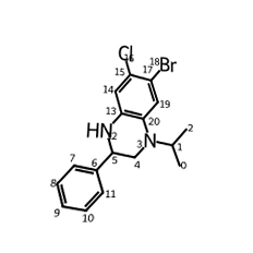 CC(C)N1CC(c2ccccc2)Nc2cc(Cl)c(Br)cc21